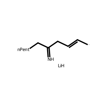 [CH2]C=CCC(=N)CCCCCC.[LiH]